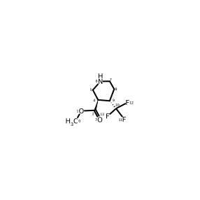 COC(=O)[C@H]1CNCC[C@@H]1C(F)(F)F